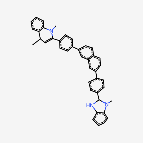 CC1C=C(c2ccc(-c3ccc4ccc(-c5ccc(C6Nc7ccccc7N6C)cc5)cc4c3)cc2)N(C)c2ccccc21